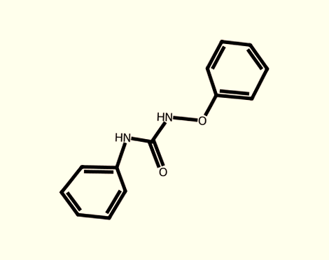 O=C(NOc1ccccc1)Nc1ccccc1